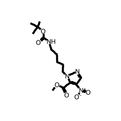 COC(=O)c1c([N+](=O)[O-])cnn1CCCCCNC(=O)OC(C)(C)C